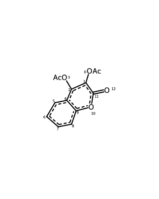 CC(=O)Oc1c(OC(C)=O)c2ccccc2oc1=O